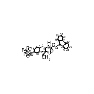 COC(=O)[C@H](Cc1ccc(OS(=O)(=O)C(F)(F)F)cc1)NC(=O)OCC1c2ccccc2-c2ccccc21